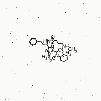 CCN(CC)CCCS(=O)(=O)N[C@H](CCc1ccccc1)c1nc(C(=O)N(C)C2CCCCC2)n(C)n1